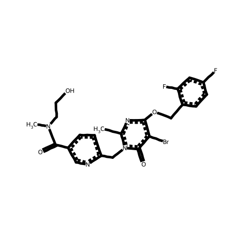 Cc1nc(OCc2ccc(F)cc2F)c(Br)c(=O)n1Cc1ccc(C(=O)N(C)CCO)cn1